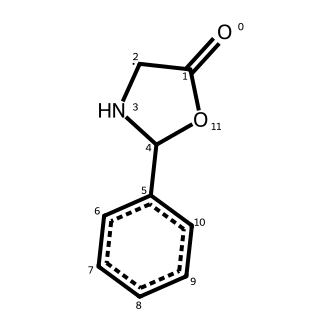 O=C1[CH]NC(c2ccccc2)O1